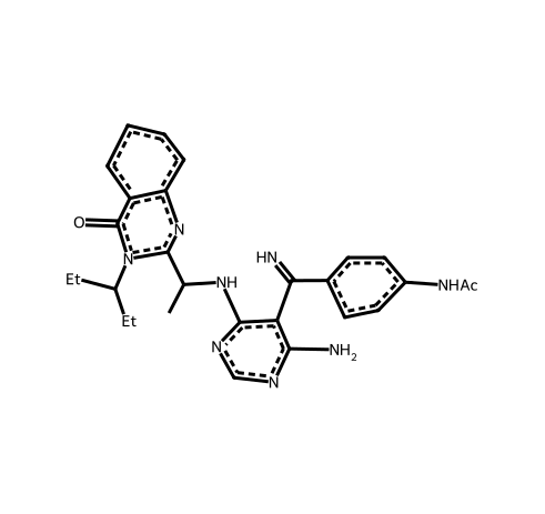 CCC(CC)n1c(C(C)Nc2ncnc(N)c2C(=N)c2ccc(NC(C)=O)cc2)nc2ccccc2c1=O